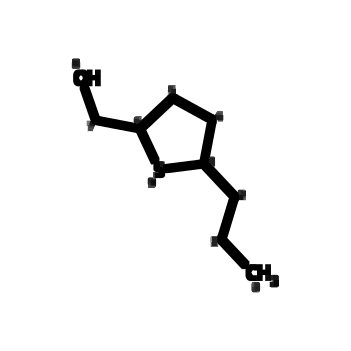 CCCC1CCC(CO)S1